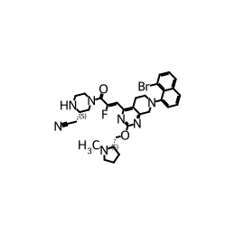 CN1CCC[C@H]1COc1nc(C=C(F)C(=O)N2CCN[C@@H](CC#N)C2)c2c(n1)CN(c1cccc3cccc(Br)c13)CC2